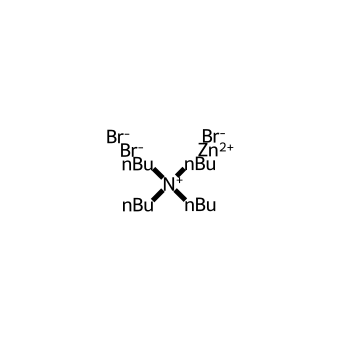 CCCC[N+](CCCC)(CCCC)CCCC.[Br-].[Br-].[Br-].[Zn+2]